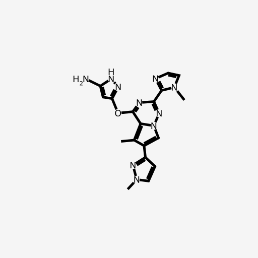 Cc1c(-c2ccn(C)n2)cn2nc(-c3nccn3C)nc(Oc3cc(N)[nH]n3)c12